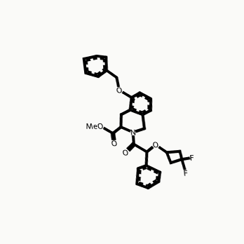 COC(=O)C1Cc2c(cccc2OCc2ccccc2)CN1C(=O)C(OC1CC(F)(F)C1)c1ccccc1